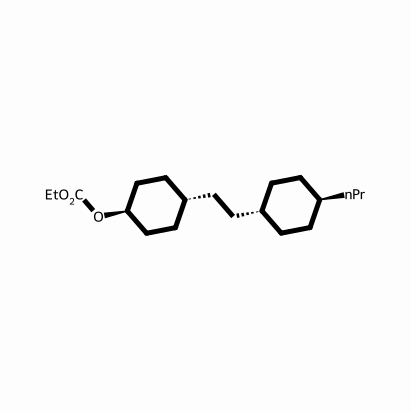 CCC[C@H]1CC[C@H](CC[C@H]2CC[C@H](OC(=O)OCC)CC2)CC1